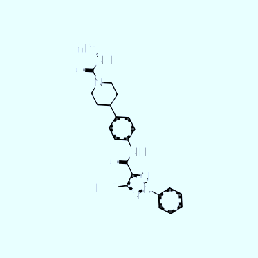 CCCNC(=O)N1CCC(c2ccc(NC(=O)c3nn(-c4ccccc4)nc3C)cc2)CC1